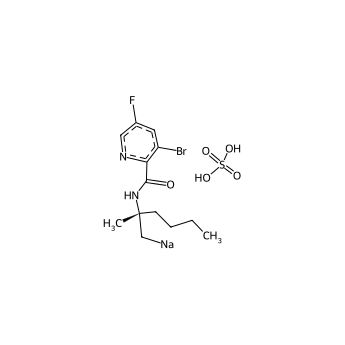 CCCC[C@](C)([CH2][Na])NC(=O)c1ncc(F)cc1Br.O=S(=O)(O)O